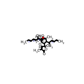 C=C/C=C/C(=O)C1C([C@]2(C)OC(=O)C(C)=C2O)C2\C(=C(O)/C=C/C=C/C)C(=O)[C@]1(C)C(=O)[C@@]2(C)O